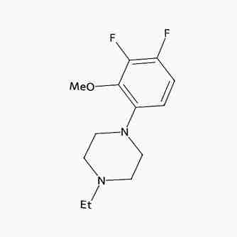 CCN1CCN(c2ccc(F)c(F)c2OC)CC1